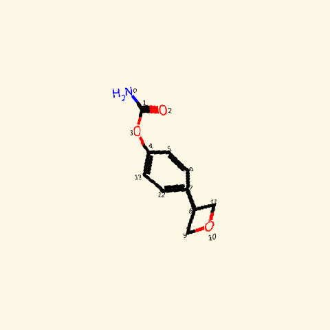 NC(=O)Oc1ccc(C2COC2)cc1